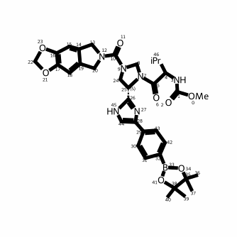 COC(=O)NC(C(=O)N1CN(C(=O)N2Cc3cc4c(cc3C2)OCO4)C[C@H]1c1nc(-c2ccc(B3OC(C)(C)C(C)(C)O3)cc2)c[nH]1)C(C)C